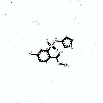 COC(=O)c1ccc(Cl)cc1S(=O)(=O)Nc1ccsc1